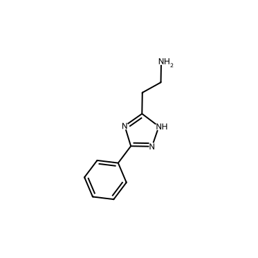 NCCc1nc(-c2ccccc2)n[nH]1